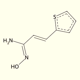 NC(C=Cc1cccs1)=NO